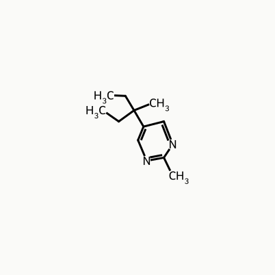 CCC(C)(CC)c1cnc(C)nc1